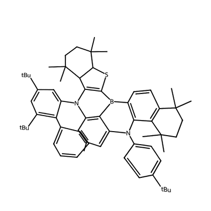 Cc1cc2c3c(c1)N(c1ccc(C(C)(C)C)cc1)c1c(ccc4c1C(C)(C)CCC4(C)C)B3C1=C(C3C(S1)C(C)(C)CCC3(C)C)N2c1cc(C(C)(C)C)cc(C(C)(C)C)c1-c1ccccc1